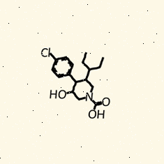 CCC(CC)C1CN(C(=O)O)CC(O)C1c1ccc(Cl)cc1